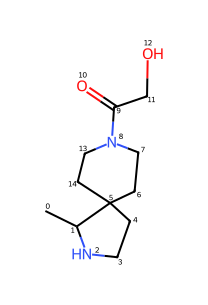 CC1NCCC12CCN(C(=O)CO)CC2